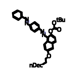 CCCCCCCCCCCCOc1ccc2c(/N=N/c3ccc(/N=N/c4ccccc4)cc3)c(OC(=O)OC(C)(C)C)ccc2c1